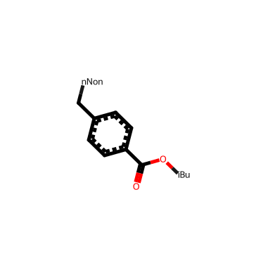 CCCCCCCCCCc1ccc(C(=O)OC(C)CC)cc1